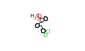 COC(=O)c1ccccc1/C=C/c1ccccc1Cc1ccc(Cl)c(Cl)c1